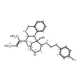 CCCC1(N2c3ccccc3CSC2N(C)/C(=C/C(=O)O)C(=O)O)CCNCC1OCCc1ccc(F)cc1